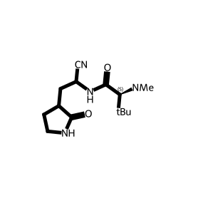 CN[C@H](C(=O)NC(C#N)CC1CCNC1=O)C(C)(C)C